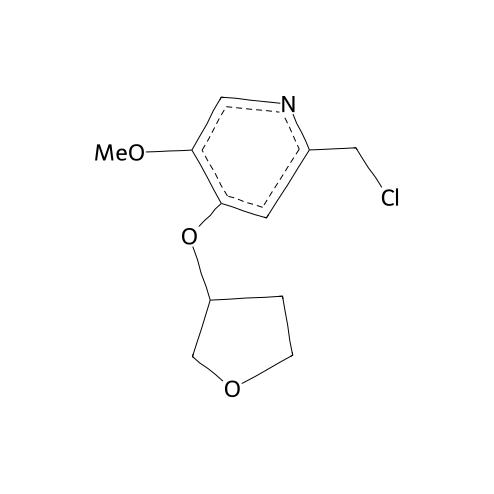 COc1cnc(CCl)cc1OC1CCOC1